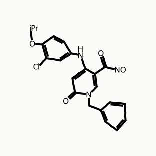 CC(C)Oc1ccc(Nc2cc(=O)n(Cc3ccccc3)cc2C(=O)N=O)cc1Cl